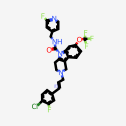 O=C(NCc1ccnc(F)c1)n1c2c(c3ccc(OC(F)(F)F)cc31)CN(C/C=C/c1ccc(Cl)c(F)c1)CC2